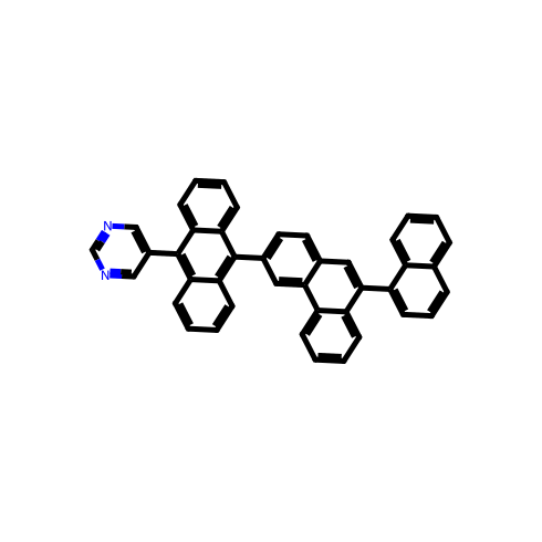 c1ccc2c(-c3cc4ccc(-c5c6ccccc6c(-c6cncnc6)c6ccccc56)cc4c4ccccc34)cccc2c1